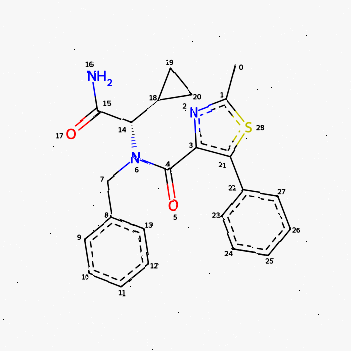 Cc1nc(C(=O)N(Cc2ccccc2)[C@H](C(N)=O)C2CC2)c(-c2ccccc2)s1